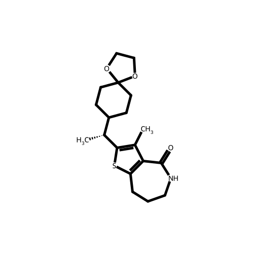 Cc1c([C@H](C)C2CCC3(CC2)OCCO3)sc2c1C(=O)NCCC2